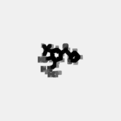 CC(C)(C)c1cc(C(=O)c2cccs2)cc(CN)c1O.Cl